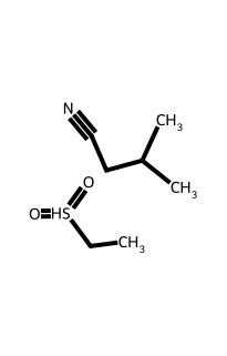 CC(C)CC#N.CC[SH](=O)=O